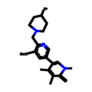 C=C1C(C)=C(C)C(c2cnc(CN3CCC(C(C)C)CC3)c(OC)c2)=CN1C